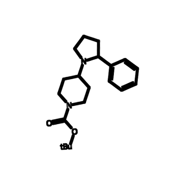 CC(C)(C)OC(=O)N1CCC(N2CCCC2c2ccccc2)CC1